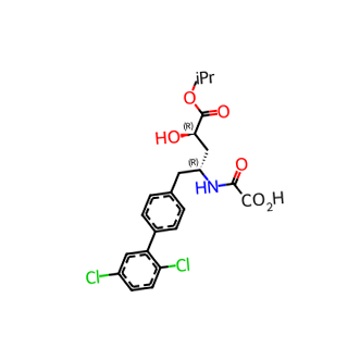 CC(C)OC(=O)[C@H](O)C[C@@H](Cc1ccc(-c2cc(Cl)ccc2Cl)cc1)NC(=O)C(=O)O